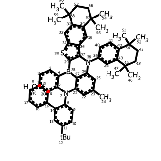 Cc1ccc2c(c1)N(c1ccc(C(C)(C)C)cc1-c1ccccc1)c1cc(C)cc3c1B2c1sc2cc4c(cc2c1N3c1ccc2c(c1)C(C)(C)CCC2(C)C)C(C)(C)CCC4(C)C